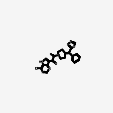 O=C(C(=O)N1CCC(=C(c2ccccc2)c2nnco2)CC1)c1c[nH]c2c(Cl)ncnc12